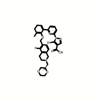 CCc1c(C(=O)C#N)cnn1-c1cccc(C2=CCCC(C)=C2OCc2ccc3c(c2F)CCN(C[C@@H]2COCCO2)C3)n1